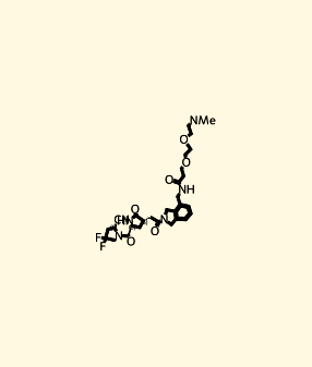 CNCCOCCOCCC(=O)NCc1cccc2c1CN(C(=O)C[C@@H]1C[C@@H](C(=O)N3CC(F)(F)C[C@H]3C#N)NC1=O)C2